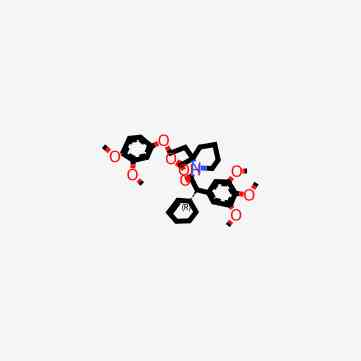 COc1ccc(OCCC2(C(=O)O)CCCCN2C(=O)C(c2cc(OC)c(OC)c(OC)c2)[C@H]2C=CCCC2)cc1OC